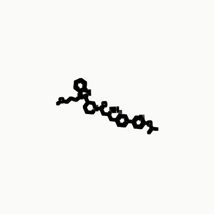 COCCCn1c(C2CCCN(C(=O)CC(N)Cc3ccc(-c4ccc(OC(C)C)nc4)cc3)C2)nc2ccccc21